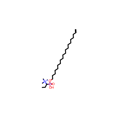 C=CCCCCCCCCCCCCCCCCCCOP(=O)(O)C(CC)[N+](C)(C)C